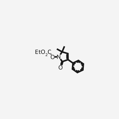 CCOC(=O)ON1C(=O)C(c2ccccc2)=CC1(C)C